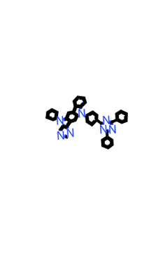 c1ccc(-c2nc(-c3ccccc3)nc(-c3ccc(-n4c5ccccc5c5cc6c(cc54)c4ncncc4n6-c4ccccc4)cc3)n2)cc1